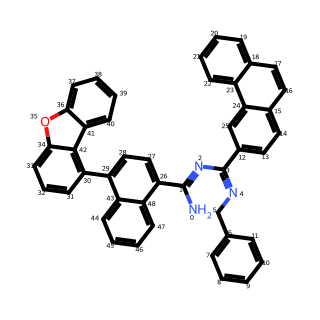 N/C(=N\C(=N/Cc1ccccc1)c1ccc2ccc3ccccc3c2c1)c1ccc(-c2cccc3oc4ccccc4c23)c2ccccc12